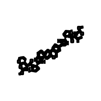 COC(=O)N[C@H](C(=O)N1[C@@H](C)CC[C@H]1c1ncc(-c2ccc3c(c2)COc2cc4c(ccc5nc([C@@H]6CC[C@H](C)N6C(=O)[C@@H](NC(=O)OC)[C@H]6CCCOC6)[nH]c54)cc2-3)[nH]1)C(C)C